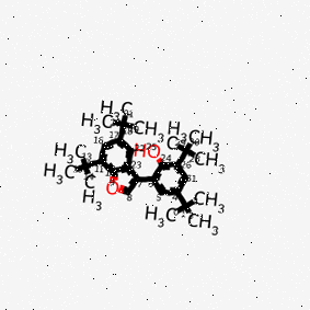 CC(C)(C)c1cc(-c2coc3c(C(C)(C)C)cc(C(C)(C)C)cc23)c(O)c(C(C)(C)C)c1